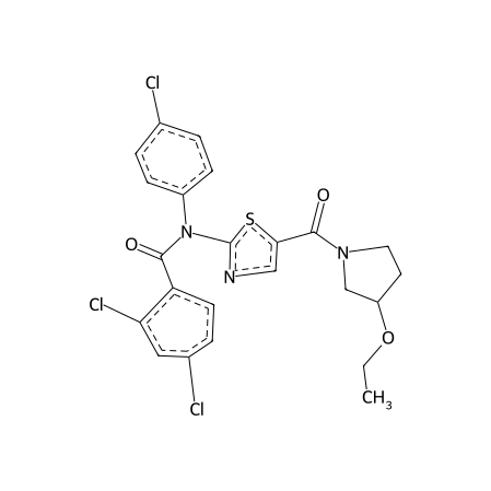 CCOC1CCN(C(=O)c2cnc(N(C(=O)c3ccc(Cl)cc3Cl)c3ccc(Cl)cc3)s2)C1